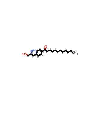 CCCCCCCCCCCC(=O)c1ccc(C[C@H](N)CO)cc1